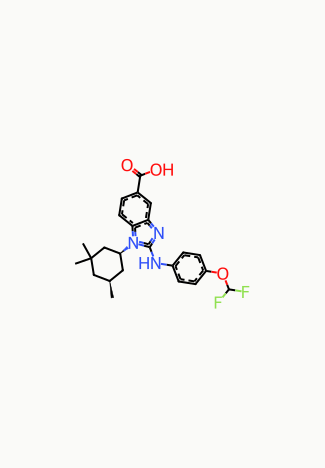 C[C@@H]1C[C@H](n2c(Nc3ccc(OC(F)F)cc3)nc3cc(C(=O)O)ccc32)CC(C)(C)C1